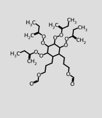 C=C(CC)OOC1C(CCCOC=O)C(CCCOC=O)C(OOC(=C)CC)C(OOC(=C)CC)C1OOC(=C)CC